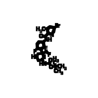 Cc1cc(Br)cnc1C(=O)Nc1ccc(F)c(C2(C(F)F)CNCC(NC(=O)OC(C)(C)C)=N2)c1